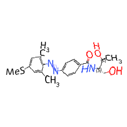 CSc1cc(C)c(/N=N/c2ccc(C(=O)N[C@@H](CO)[C@H](C)O)cc2)c(C)c1